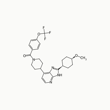 CO[C@H]1CC[C@@H](c2nc3c(C4CCN(C(=O)c5ccc(OC(F)(F)F)cc5)CC4)ccnc3[nH]2)CC1